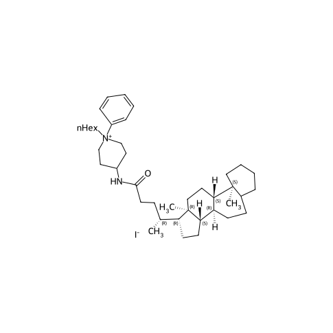 CCCCCC[N+]1(c2ccccc2)CCC(NC(=O)CC[C@@H](C)[C@H]2CC[C@H]3[C@@H]4CCC5CCCC[C@]5(C)[C@H]4CC[C@]23C)CC1.[I-]